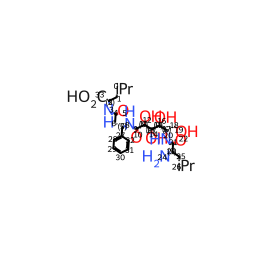 CC(C)C[C@H](NC(=O)C[C@H](NC(=O)[C@@H](O)[C@H](O)[C@H](O)[C@H](CO)NC(=O)[C@@H](N)CC(C)C)c1ccccc1)C(=O)O